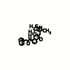 Cc1nn(C)c(C)c1Cn1ccc2c(NC(=O)CC34CC5CC(CC(C5)C3)C4)cccc2c1=O